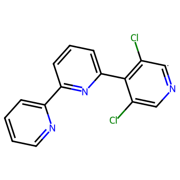 Clc1[c]ncc(Cl)c1-c1cccc(-c2ccccn2)n1